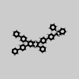 c1ccc(-c2ccc(-c3cc4nc(-c5ccccc5)c(-c5ccc(-c6ccc(-c7nc8ccccc8n7-c7ccccc7)cc6)cc5)nc4cc3-c3ccc(-c4ccccc4)cc3)cc2)cc1